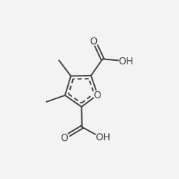 Cc1c(C(=O)O)oc(C(=O)O)c1C